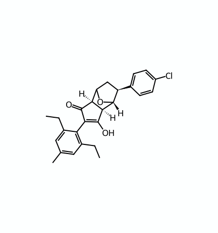 CCc1cc(C)cc(CC)c1C1=C(O)[C@@H]2[C@@H]3OC(C[C@H]3c3ccc(Cl)cc3)[C@@H]2C1=O